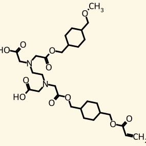 C=CC(=O)OCC1CCC(COC(=O)CN(CCN(CC(=O)O)CC(=O)OCC2CCC(COC)CC2)CC(=O)O)CC1